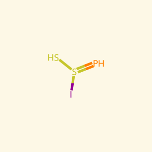 P=S(S)I